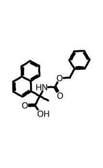 CC(NC(=O)OCc1ccccc1)(C(=O)O)c1cccc2ccccc12